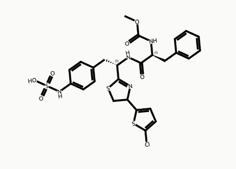 COC(=O)N[C@@H](Cc1ccccc1)C(=O)N[C@@H](Cc1ccc(NS(=O)(=O)O)cc1)C1=NC(c2ccc(Cl)s2)CS1